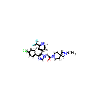 CN1CC2(CCN(C(=O)Cn3cnc(-c4ccc(Cl)cc4)c3-c3ccnc(C(F)F)c3)CC2)C1